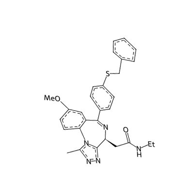 CCNC(=O)C[C@@H]1N=C(c2ccc(SCc3ccccc3)cc2)c2cc(OC)ccc2-n2c(C)nnc21